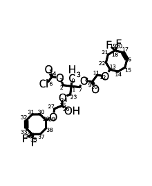 CC(COC(=O)Cl)(COC(=O)COC1CCC#CC(F)(F)CC1)COC(O)COC1CCC#CC(F)(F)CC1